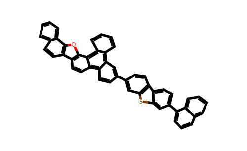 c1ccc2c(-c3ccc4c(c3)sc3cc(-c5ccc6c(c5)c5ccccc5c5c6ccc6c7ccc8ccccc8c7oc65)ccc34)cccc2c1